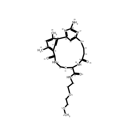 COCCOCCNC(=O)C1CCNC(=O)c2cc(c(C)cc2C)-c2cc(nc(N)n2)SCCC(=O)N1